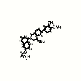 COc1ccc(-c2ccc(CN(CCC(C)(C)C)c3nccc4cc(OCC(=O)O)ccc34)cc2)cc1C